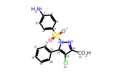 Nc1ccc(S(=O)(=O)n2nc(C(=O)O)c(Cl)c2-c2ccccc2)cc1